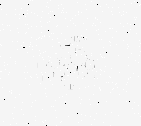 CNC(=O)N1CC[C@H]2CC[C@@H](C(=O)O)N2C(=O)[C@@H](NC(=O)[C@H](C)N(C)C(=O)OC(C)(C)C)C1